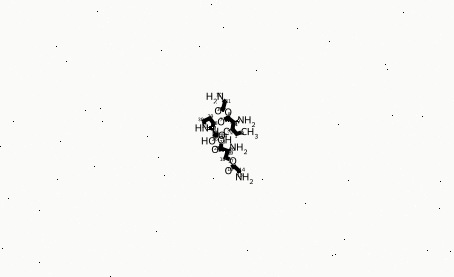 CC[C@H](C)[C@H](N)C(=O)OC(=O)CN.NCC(=O)OC[C@H](N)C(=O)O.O=C(O)[C@@H]1CCCN1